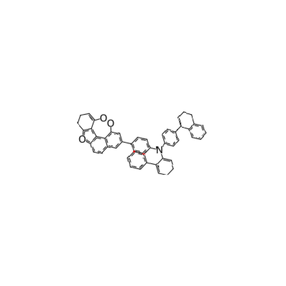 C1=C(c2ccccc2)C(N(c2ccc(C3=CCCc4ccccc43)cc2)c2ccc(-c3cc4c5c(ccc6oc7c(c65)C(=CCC7)OO4)c3)cc2)=CCC1